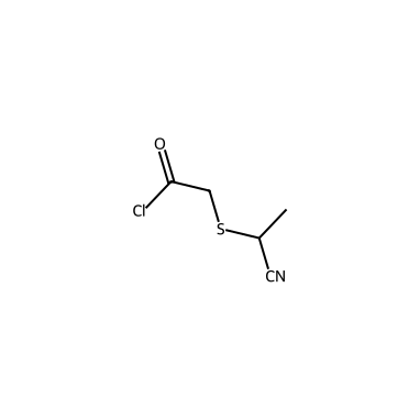 CC(C#N)SCC(=O)Cl